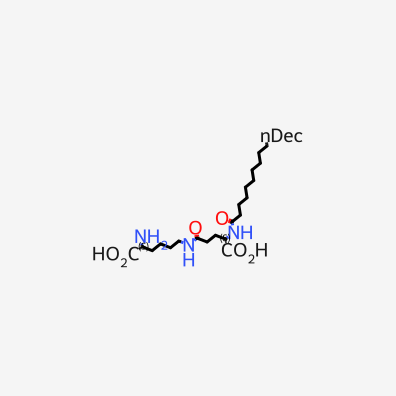 CCCCCCCCCCCCCCCCCCCC(=O)N[C@@H](CCC(=O)NCCCC[C@H](N)C(=O)O)C(=O)O